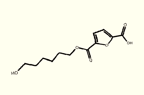 O=C(O)c1ccc(C(=O)OCCCCCCO)o1